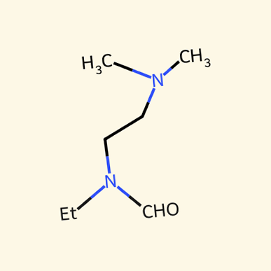 CCN(C=O)CCN(C)C